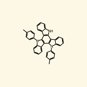 Cc1ccc(-n2c3ccccc3c3c4[nH]c5ccccc5c4c4c(c5ccccc5n4-c4ccc(C)cc4)c32)cc1